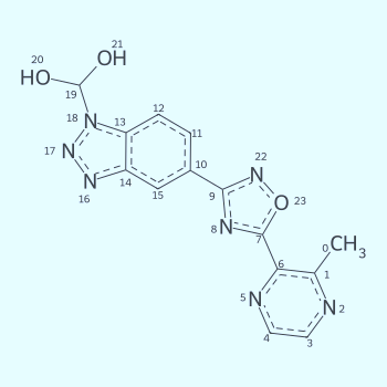 Cc1nccnc1-c1nc(-c2ccc3c(c2)nnn3C(O)O)no1